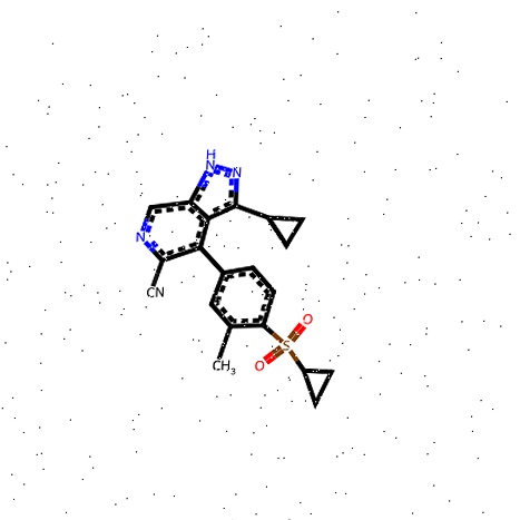 Cc1cc(-c2c(C#N)ncc3[nH]nc(C4CC4)c23)ccc1S(=O)(=O)C1CC1